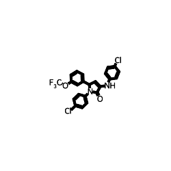 O=C1C(Nc2ccc(Cl)cc2)=CC(c2cccc(OC(F)(F)F)c2)N1c1ccc(Cl)cc1